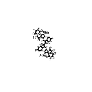 CC[C@H](NC(=O)[C@H](C)N(C)C(=O)OC(C)(C)C)C(=O)N1C[C@@H](OC(C)=O)C[C@H]1Cc1c(-c2[nH]c3cc(F)ccc3c2C[C@@H]2C[C@H](OC(C)=O)CN2C(=O)[C@H](CC)NC(=O)[C@H](C)N(C)C(=O)OC(C)(C)C)[nH]c2cc(F)ccc12